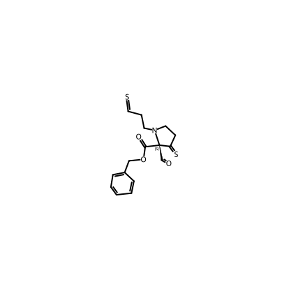 O=C[C@]1(C(=O)OCc2ccccc2)C(=S)CCN1CCC=S